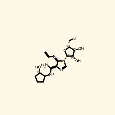 C=C/N=C1\C(=C(/N)NC2CCC[C@H]2O)N=CN1[C@@H]1O[C@H](CCl)[C@@H](O)[C@H]1O